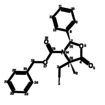 C[C@@]1(CI)C(=O)O[C@@H](c2ccccc2)N1C(=O)OCc1ccccc1